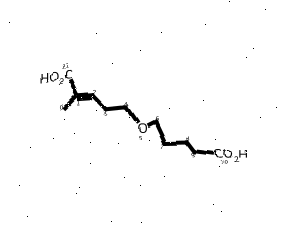 CC(=CCCOCCCCC(=O)O)C(=O)O